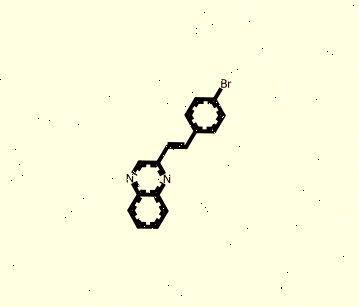 Brc1ccc(C=Cc2cnc3ccccc3n2)cc1